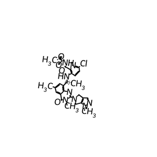 Cc1cc([C@@H](C)Nc2ccc(Cl)nc2C(=O)NS(C)(=O)=O)c2nc(N3Cc4cnn(C)c4C3)n(C)c(=O)c2c1